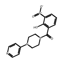 O=C(c1cccc([N+](=O)[O-])c1O)N1CCN(c2ccncc2)CC1